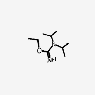 CCOC(=N)N(C(C)C)C(C)C